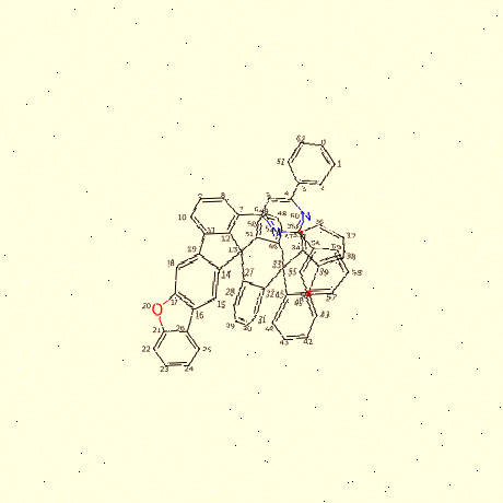 c1ccc(-c2cc(-c3cccc4c3C3(c5cc6c(cc5-4)oc4ccccc46)c4ccccc4C4(c5ccccc5-c5ccccc54)c4ccccc43)nc(-c3ccccc3)n2)cc1